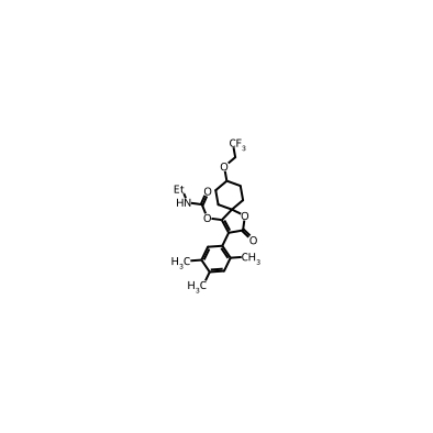 CCNC(=O)OC1=C(c2cc(C)c(C)cc2C)C(=O)OC12CCC(OCC(F)(F)F)CC2